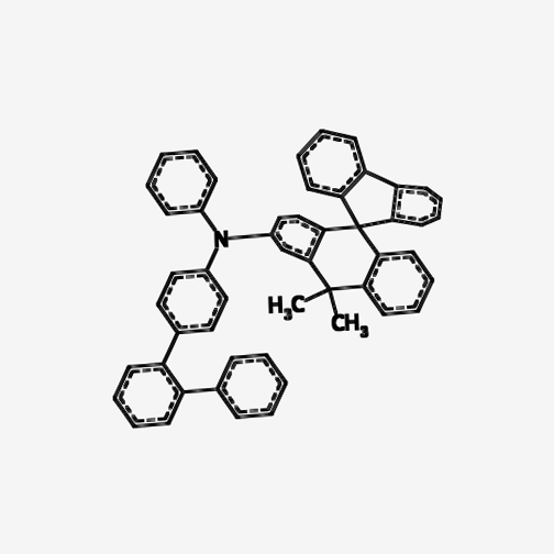 CC1(C)c2ccccc2C2(c3ccccc3-c3ccccc32)c2ccc(N(c3ccccc3)c3ccc(-c4ccccc4-c4ccccc4)cc3)cc21